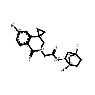 O=C(CN1CC2(CC2)c2cc(Br)ccc2C1=O)N[C@H]1C[C@@H]2CC[C@H]1O2